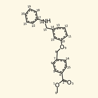 COC(=O)c1ccc(COc2cccc(CNc3ccccc3)c2)cc1